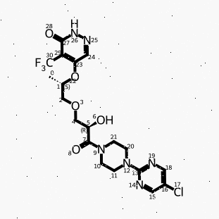 C[C@@H](COC[C@@H](O)C(=O)N1CCN(c2ncc(Cl)cn2)CC1)Oc1cn[nH]c(=O)c1C(F)(F)F